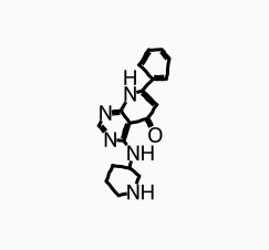 O=c1cc(-c2ccccc2)[nH]c2ncnc(NC3CCCNC3)c12